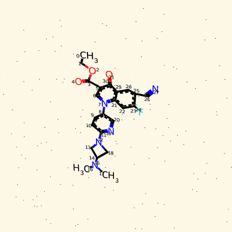 CCOC(=O)c1cn(-c2ccc(N3CC(N(C)C)C3)nc2)c2cc(F)c(C#N)cc2c1=O